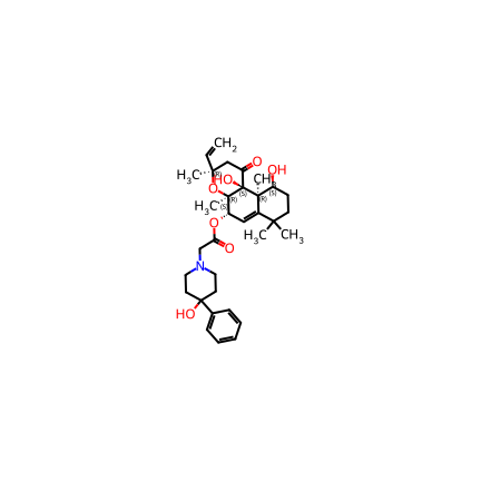 C=C[C@@]1(C)CC(=O)[C@@]2(O)[C@](C)(O1)[C@@H](OC(=O)CN1CCC(O)(c3ccccc3)CC1)C=C1C(C)(C)CC[C@H](O)[C@@]12C